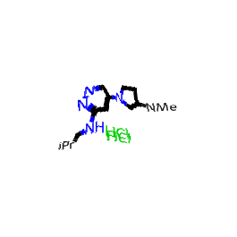 CNC1CCN(c2cnnc(NCC(C)C)c2)C1.Cl.Cl